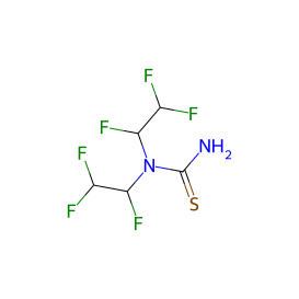 NC(=S)N(C(F)C(F)F)C(F)C(F)F